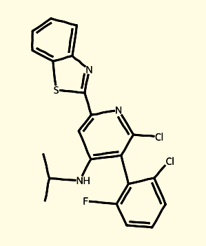 CC(C)Nc1cc(-c2nc3ccccc3s2)nc(Cl)c1-c1c(F)cccc1Cl